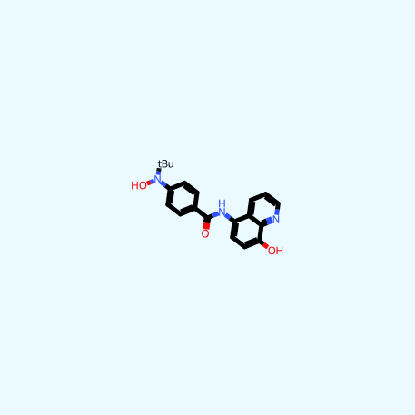 CC(C)(C)N(O)c1ccc(C(=O)Nc2ccc(O)c3ncccc23)cc1